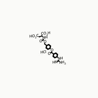 Cl.N=C(N)Nc1ccc(C(=O)Oc2ccc(COC(=O)N[C@@H](CC(=O)O)C(=O)O)cc2)cc1